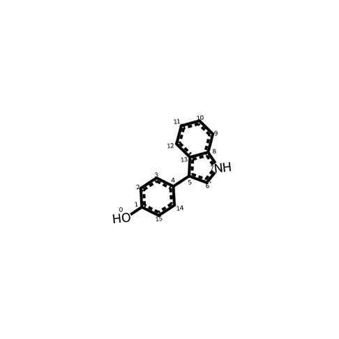 Oc1ccc(-c2[c][nH]c3ccccc23)cc1